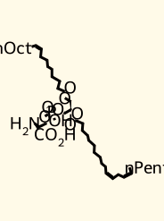 CCCCC/C=C\C/C=C\CCCCCCCCCC(=O)O[C@H](COC(=O)CCCCCCC/C=C\CCCCCCCC)COP(=O)(O)OC[C@H](N)C(=O)O